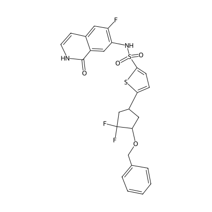 O=c1[nH]ccc2cc(F)c(NS(=O)(=O)c3ccc(C4CC(OCc5ccccc5)C(F)(F)C4)s3)cc12